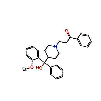 CCOc1ccccc1C(O)(c1ccccc1)C1CCN(CCC(=O)c2ccccc2)CC1